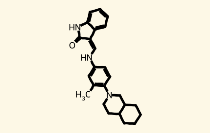 Cc1cc(NC=C2C(=O)Nc3ccccc32)ccc1N1CCC2CCCCC2C1